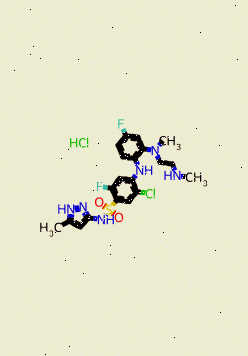 CNCCN(C)c1cc(F)ccc1Nc1cc(F)c(S(=O)(=O)Nc2cc(C)[nH]n2)cc1Cl.Cl